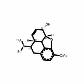 CCN(C)[C@@H]1Cc2ccc(OC)c3c2C2[C@H]1C=C[C@H](O)[C@@H]2O3